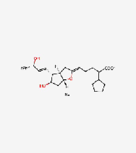 CCC[C@H](O)/C=C/[C@@H]1[C@H]2C/C(=C/CCC(C(=O)[O-])C3CCCC3)O[C@@H]2C[C@H]1O.[Na+]